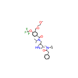 COCCOCc1cc(C(=O)N(C[C@@H]2CNC[C@H]2CN(C(=O)Cc2ccccc2)C2CC2)C(C)C)ccc1OC(F)(F)F